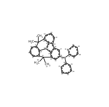 CC1(C)c2cccc3c2-n2c4c1cccc4c1cc(N(c4ccccc4)c4ccccn4)cc(c12)C3(C)C